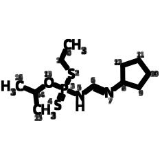 CCSP(=S)(NC=NC1CCCC1)OC(C)C